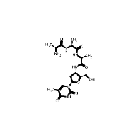 Cc1cn([C@H]2C[C@H](NC(=O)[C@H](C)NC(=O)[C@H](C)NC(=O)[C@H](C)N)[C@@H](CO)O2)c(=O)[nH]c1=O